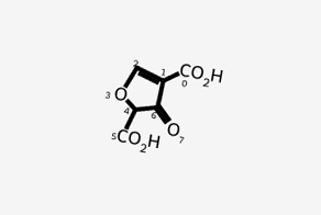 O=C(O)C1=COC(C(=O)O)C1=O